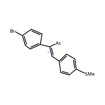 CSc1ccc(/C=C(\C(C)=O)c2ccc(Br)cc2)cc1